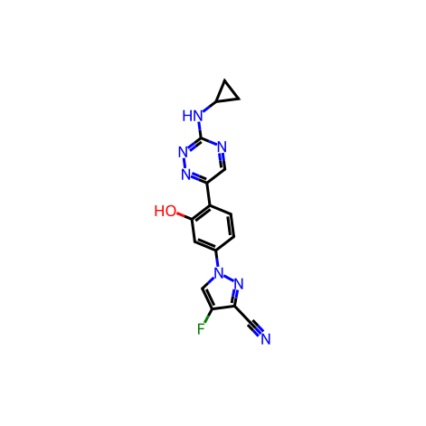 N#Cc1nn(-c2ccc(-c3cnc(NC4CC4)nn3)c(O)c2)cc1F